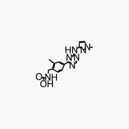 Cc1cc(-c2ncnc(Nc3ccn(C)n3)n2)ccc1CNC(=O)O